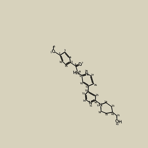 COc1ccc(C(=O)Nc2cc(-c3ccnc(N4CCC(CO)CC4)c3)ccn2)cc1